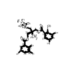 CC(CNS(=O)(=O)C(F)(F)F)(COC(=O)c1cc(I)cc(I)c1I)COC(=O)c1cc(I)cc(I)c1I